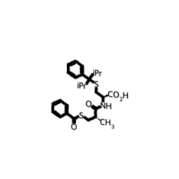 CC(C)C(SC[C@H](NC(=O)[C@H](C)CSC(=O)c1ccccc1)C(=O)O)(c1ccccc1)C(C)C